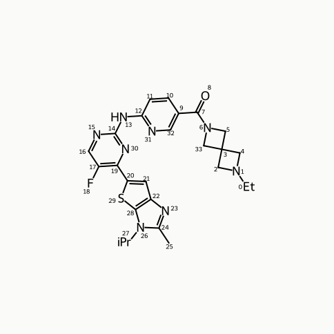 CCN1CC2(C1)CN(C(=O)c1ccc(Nc3ncc(F)c(-c4cc5nc(C)n(C(C)C)c5s4)n3)nc1)C2